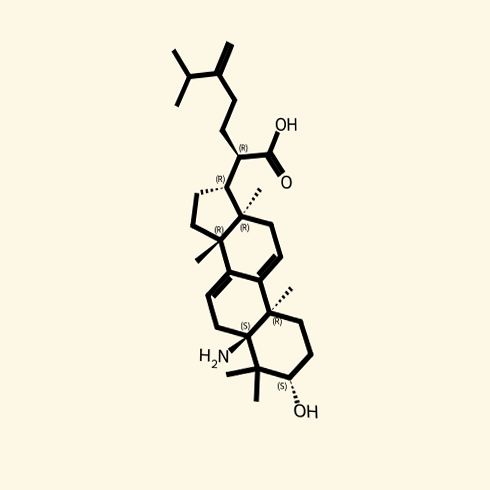 C=C(CC[C@@H](C(=O)O)[C@H]1CC[C@@]2(C)C3=CC[C@@]4(N)C(C)(C)[C@@H](O)CC[C@]4(C)C3=CC[C@]12C)C(C)C